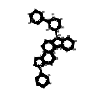 c1ccc(-n2ccc3c4ccc5c(c4ccc32)c2ccccc2n5-c2ccnc(-c3cccnc3)n2)cc1